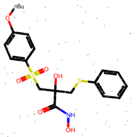 CCCCOc1ccc(S(=O)(=O)CC(O)(CSc2ccccc2)C(=O)NO)cc1